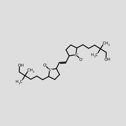 CC(C)(CO)CCCC1CCC(C=CC2CCC(CCCC(C)(C)CO)[S+]2[O-])[S+]1[O-]